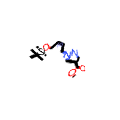 COC(=O)c1cnn(C/C=C\CO[Si](C)(C)C(C)(C)C)c1